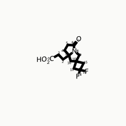 O=C(O)CCC12CCC(=O)N1CC1(CC(F)(F)C1)C2